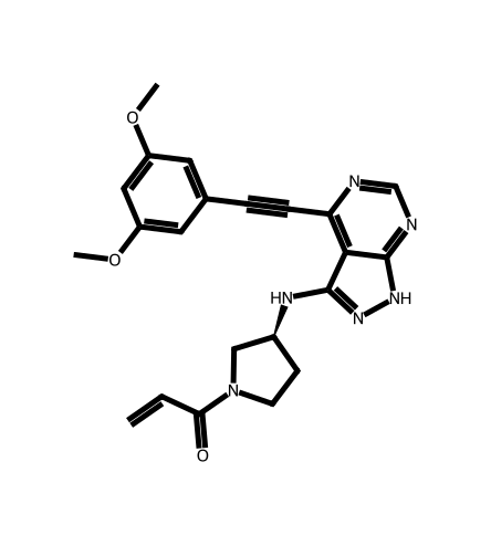 C=CC(=O)N1CC[C@H](Nc2n[nH]c3ncnc(C#Cc4cc(OC)cc(OC)c4)c23)C1